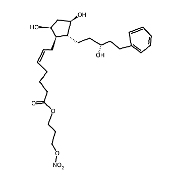 O=C(CCC/C=C\C[C@@H]1[C@@H](CC[C@@H](O)CCc2ccccc2)[C@H](O)C[C@@H]1O)OCCCO[N+](=O)[O-]